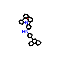 C1=CC2C(c3ccc(Nc4ccc5c6ccccc6n(-c6ccccc6-c6ccccc6)c5c4)cc3)=CC3=C(C=CCC3)C2C=C1